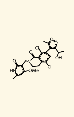 COc1cc(C)[nH]c(=O)c1CN1CCc2c(Cl)cc(-c3c(C(C)O)noc3C)c(Cl)c2C1=O